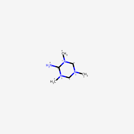 CN1CN(C)C(N)N(C)C1